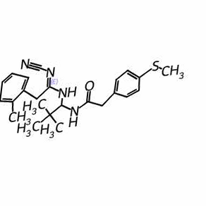 CSc1ccc(CC(=O)NC(N/C(Cc2ccccc2C)=N/C#N)C(C)(C)C)cc1